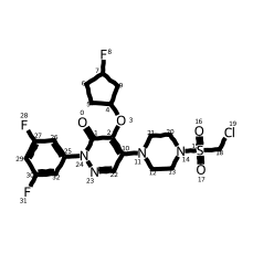 O=c1c(OC2CCC(F)C2)c(N2CCN(S(=O)(=O)CCl)CC2)cnn1-c1cc(F)cc(F)c1